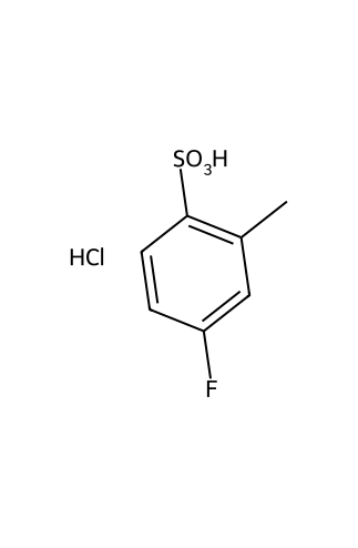 Cc1cc(F)ccc1S(=O)(=O)O.Cl